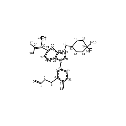 C=CCCc1cc(-c2cn(CC3CCC(F)(F)CC3)c3cc(C(CC)=C(C)C)cnc23)ccc1C